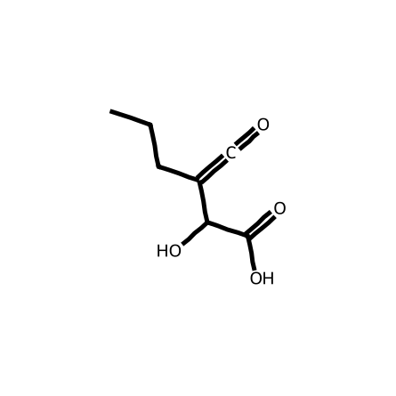 CCCC(=C=O)C(O)C(=O)O